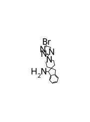 N[C@@H]1c2ccccc2CC12CCN(c1ncc(Br)nn1)CC2